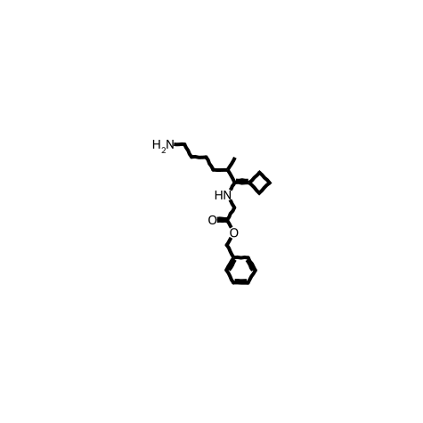 CC(CCCCN)C(NCC(=O)OCc1ccccc1)=C1CCC1